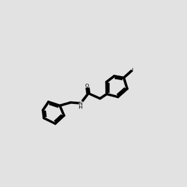 O=C(Cc1ccc(I)cc1)NCc1ccccc1